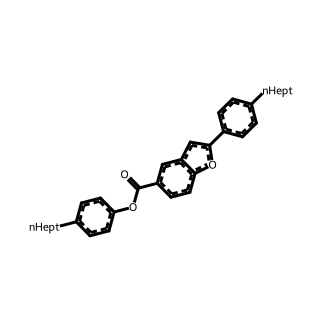 CCCCCCCc1ccc(OC(=O)c2ccc3oc(-c4ccc(CCCCCCC)cc4)cc3c2)cc1